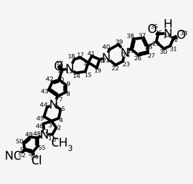 C[C@H]1CC2(CCN(c3ccc(C(=O)N4CCC5(CC4)CC(N4CCN(c6ccc([C@@H]7CCC(=O)NC7=O)cc6)CC4)C5)cc3)CC2)CN1c1ccc(C#N)c(Cl)c1